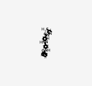 Cc1ccnc(NC(=O)c2ccc3[nH]c(-c4ccc(NC(=O)C56CC7CC(CC(C7)C5)C6)cc4)nc3c2)c1